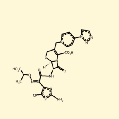 C[C@H](O/N=C(\C(=O)N[C@@H]1C(=O)N2C(C(=O)O)=C(C[n+]3ccc(-n4ccnn4)cc3)CS[C@H]12)c1nc(N)sc1Cl)C(=O)O